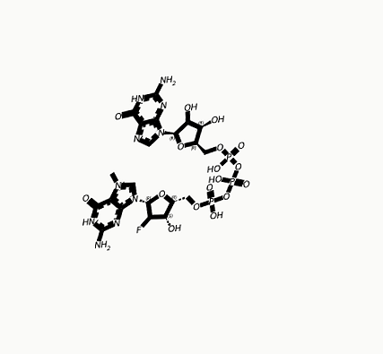 C[n+]1cn([C@@H]2O[C@H](COP(=O)(O)OP(=O)(O)OP(=O)(O)OC[C@H]3O[C@@H](n4cnc5c(=O)[nH]c(N)nc54)C(O)[C@H]3O)[C@H](O)C2F)c2nc(N)[nH]c(=O)c21